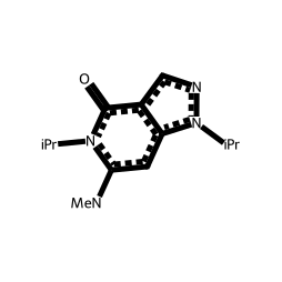 CNc1cc2c(cnn2C(C)C)c(=O)n1C(C)C